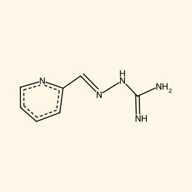 N=C(N)NN=Cc1ccccn1